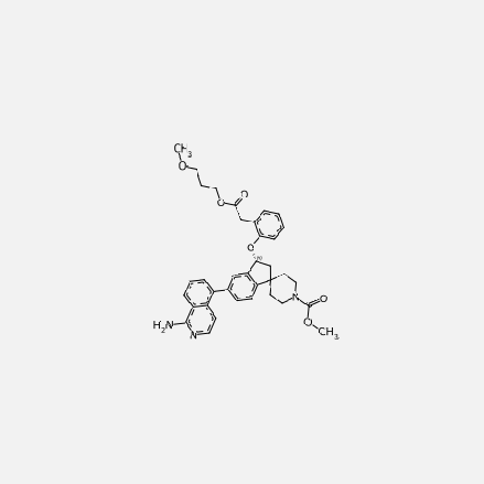 COCCCOC(=O)Cc1ccccc1O[C@@H]1CC2(CCN(C(=O)OC)CC2)c2ccc(-c3cccc4c(N)nccc34)cc21